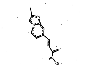 Cc1cn2ccc(C=CC(=O)NO)cc2n1